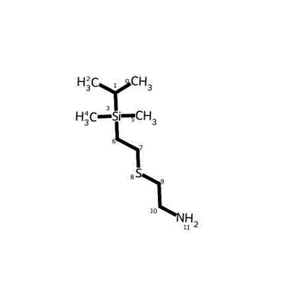 CC(C)[Si](C)(C)CCSCCN